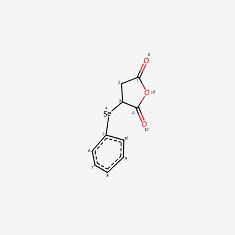 O=C1CC([Se]c2ccccc2)C(=O)O1